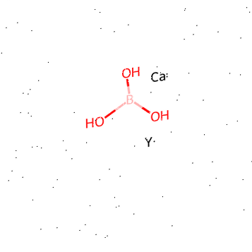 OB(O)O.[Ca].[Y]